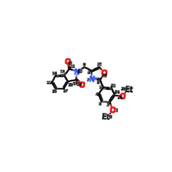 CCOc1ccc(-c2nc(CN3C(=O)c4ccccc4C3=O)co2)cc1OCC